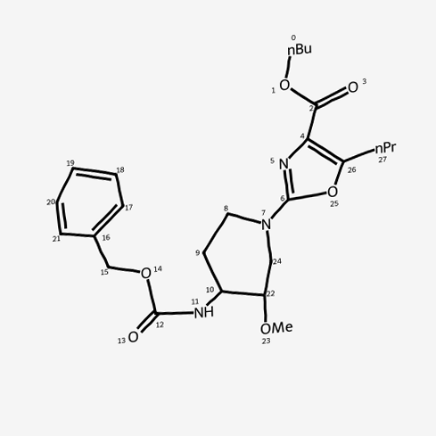 CCCCOC(=O)c1nc(N2CCC(NC(=O)OCc3ccccc3)C(OC)C2)oc1CCC